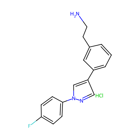 Cl.NCCc1cccc(-c2cnn(-c3ccc(F)cc3)c2)c1